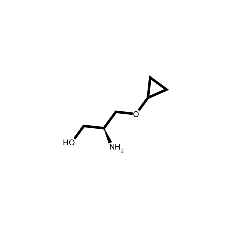 N[C@@H](CO)COC1CC1